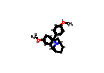 COc1ccc(CN2CC3CCC2Cc2ccc(OC)cc2C3)cc1